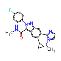 CCn1ccnc1-c1cc2nn(-c3ccc(F)cc3)c(C(=O)NC)c2cc1C1CC1